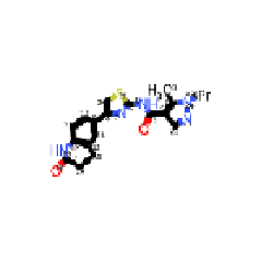 Cc1c(C(=O)Nc2nc(-c3ccc4c(c3)CCC(=O)N4)cs2)cnn1C(C)C